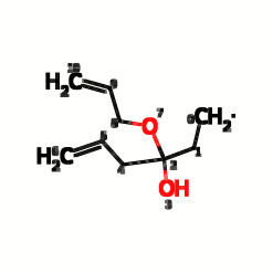 [CH2]CC(O)(CC=C)OCC=C